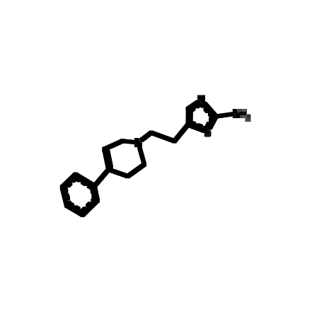 Nc1ncc(CCN2CC=C(c3ccccc3)CC2)s1